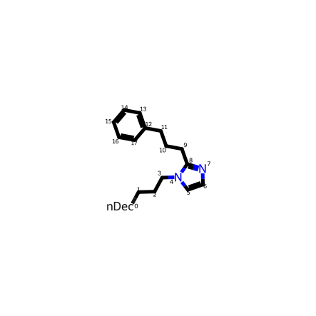 CCCCCCCCCCCCCn1ccnc1CCCc1ccccc1